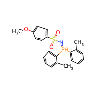 COc1ccc(S(=O)(=O)N=[PH](c2ccccc2C)c2ccccc2C)cc1